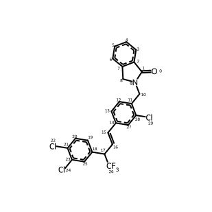 O=C1c2ccccc2CN1Cc1ccc(/C=C/C(c2ccc(Cl)c(Cl)c2)C(F)(F)F)cc1Cl